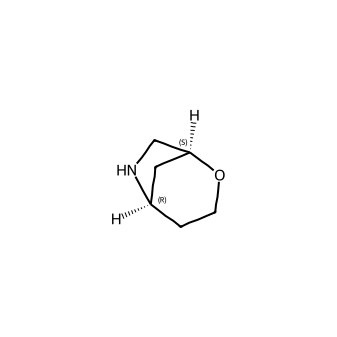 C1C[C@@H]2C[C@@H](CN2)O1